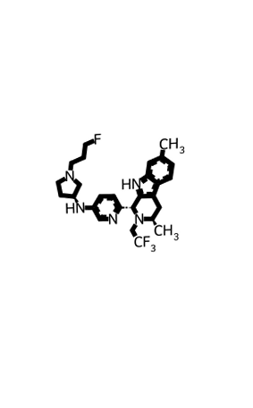 Cc1ccc2c3c([nH]c2c1)[C@@H](c1ccc(N[C@H]2CCN(CCCF)C2)cn1)N(CC(F)(F)F)[C@H](C)C3